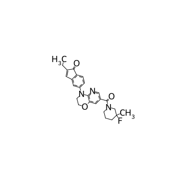 CCC1=Cc2cc(N3CCOc4cc(C(=O)N5CCCC(C)(F)C5)cnc43)ccc2C1=O